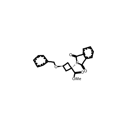 COC(=O)[C@]1(N2C(=O)c3ccccc3C2=O)C[C@H](OCc2ccccc2)C1